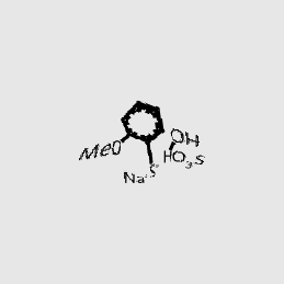 COc1ccccc1[S-].O=S(=O)(O)O.[Na+]